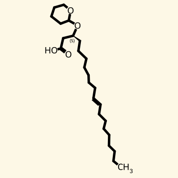 CCCCCCCCC=CCCCCCCC[C@@H](CC(=O)O)OC1CCCCO1